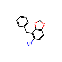 Nc1ccc2c(c1Cc1ccccc1)OCO2